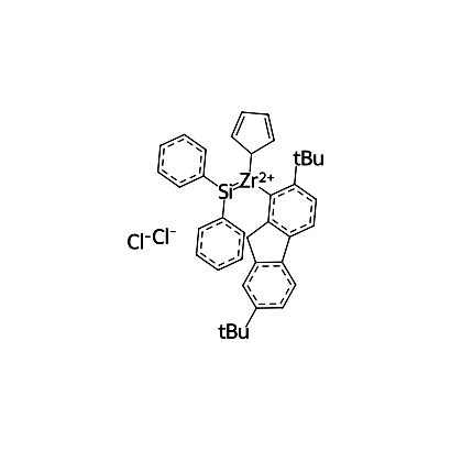 CC(C)(C)c1ccc2c(c1)Cc1c-2ccc(C(C)(C)C)[c]1[Zr+2]([CH]1C=CC=C1)=[Si](c1ccccc1)c1ccccc1.[Cl-].[Cl-]